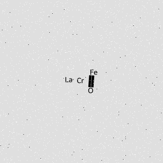 [Cr].[La].[O]=[Fe]